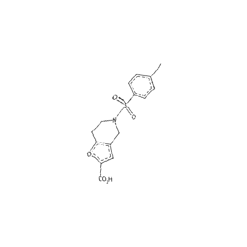 Cc1ccc(S(=O)(=O)N2CCc3oc(C(=O)O)cc3C2)cc1